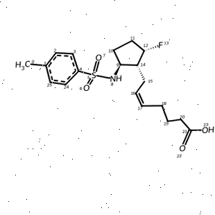 Cc1ccc(S(=O)(=O)N[C@H]2CC[C@H](F)[C@@H]2C/C=C\CCCC(=O)O)cc1